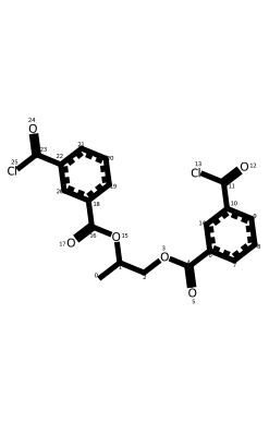 CC(COC(=O)c1cccc(C(=O)Cl)c1)OC(=O)c1cccc(C(=O)Cl)c1